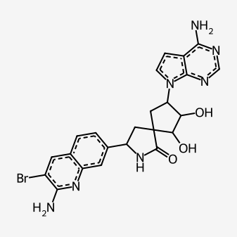 Nc1nc2cc(C3CC4(CC(n5ccc6c(N)ncnc65)C(O)C4O)C(=O)N3)ccc2cc1Br